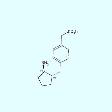 N[C@@H]1CCC[C@H]1Cc1ccc(CC(=O)O)cc1